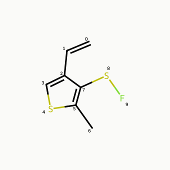 C=Cc1csc(C)c1SF